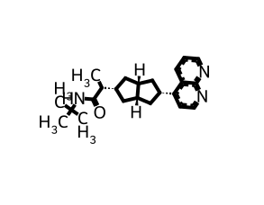 CC(C(=O)NC(C)(C)C)[C@H]1C[C@H]2C[C@@H](c3ccnc4ncccc34)C[C@H]2C1